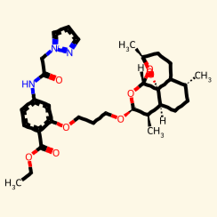 CCOC(=O)c1ccc(NC(=O)Cn2cccn2)cc1OCCCO[C@H]1O[C@@H]2O[C@@]3(C)CCC4[C@H](C)CC[C@@H]([C@H]1C)[C@]42OO3